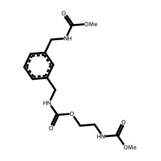 COC(=O)NCCOC(=O)NCc1cccc(CNC(=O)OC)c1